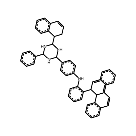 C1=Cc2ccccc2C(C2NC(c3ccccc3)NC(c3ccc(Nc4ccccc4C4C=c5ccccc5=C5C=Cc6ccccc6C54)cc3)N2)C1